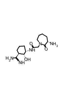 N=C(N)[C@H]1CCC[C@H](NC(=O)CN2CCCC[C@H](N)C2=O)[C@@H]1O